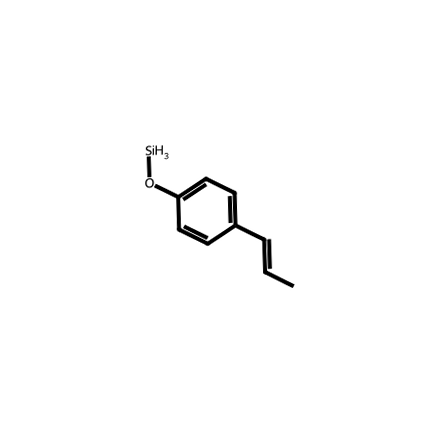 CC=Cc1ccc(O[SiH3])cc1